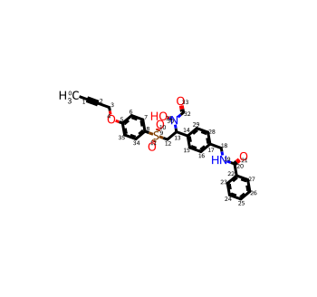 CC#CCOc1ccc(S(=O)(=O)CC(c2ccc(CNC(=O)c3ccccc3)cc2)N(O)C=O)cc1